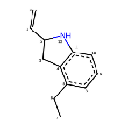 C=CC1Cc2c(CC)cccc2N1